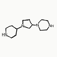 C1CC(N2CCC(N3CCNCC3)C2)CCN1